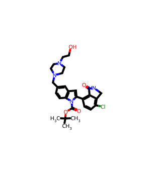 CC(C)(C)OC(=O)n1c(-c2ccc(Cl)c3c2C(=O)NC3)cc2cc(CN3CCN(CCO)CC3)ccc21